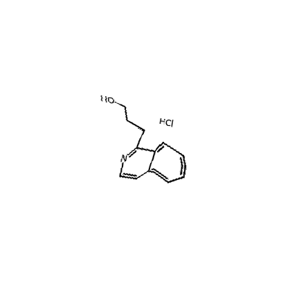 Cl.OCCCc1nccc2ccccc12